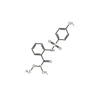 CON(C)C(=O)c1ccccc1NS(=O)(=O)c1ccc(C)cc1